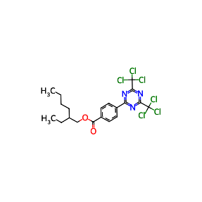 CCCCC(CC)COC(=O)c1ccc(-c2nc(C(Cl)(Cl)Cl)nc(C(Cl)(Cl)Cl)n2)cc1